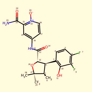 C[C@@H]1[C@H](c2ccc(F)c(F)c2O)[C@@H](C(=O)Nc2cc[n+]([O-])c(C(N)=O)c2)O[C@@]1(C)C(F)(F)F